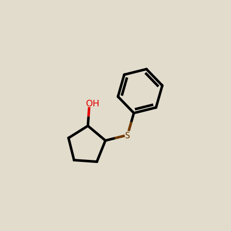 OC1CCCC1Sc1ccccc1